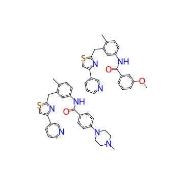 COc1cccc(C(=O)Nc2ccc(C)c(Cc3nc(-c4cccnc4)cs3)c2)c1.Cc1ccc(NC(=O)c2ccc(N3CCN(C)CC3)cc2)cc1Cc1nc(-c2cccnc2)cs1